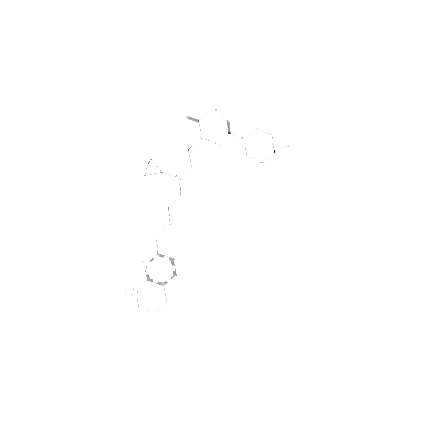 O=C(O)[C@H](CCN(CCCCc1ccc2c(n1)NCCC2)C1CC1)NC(=O)N1CCC(F)(F)CC1